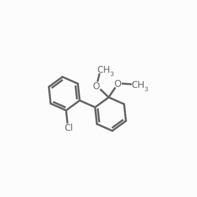 COC1(OC)CC=CC=C1c1ccccc1Cl